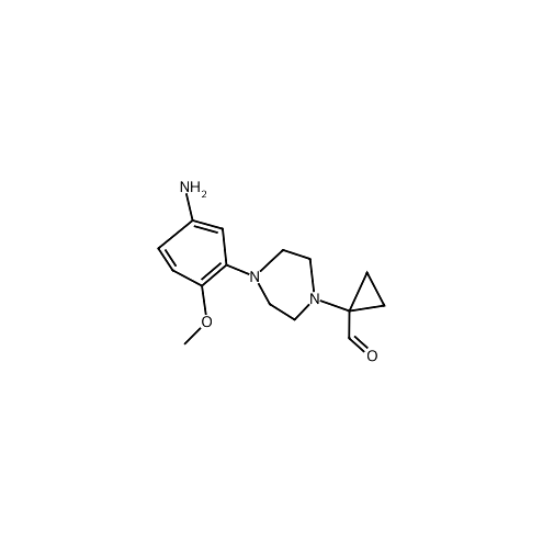 COc1ccc(N)cc1N1CCN(C2(C=O)CC2)CC1